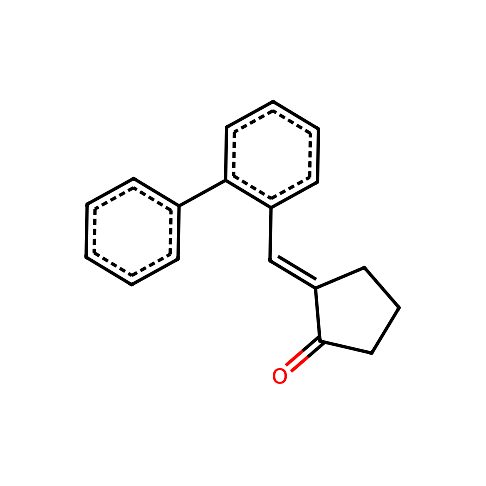 O=C1CCC/C1=C\c1ccccc1-c1ccccc1